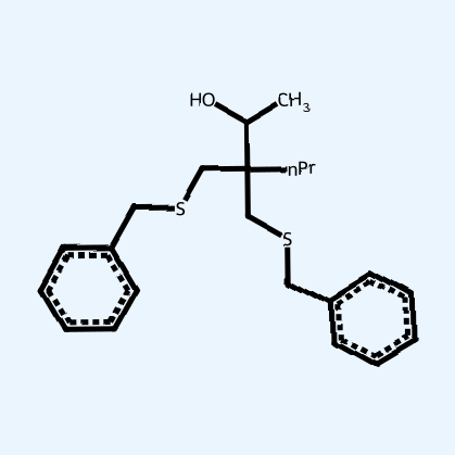 CCCC(CSCc1ccccc1)(CSCc1ccccc1)C(C)O